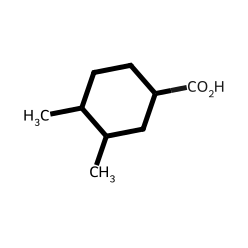 CC1CCC(C(=O)O)CC1C